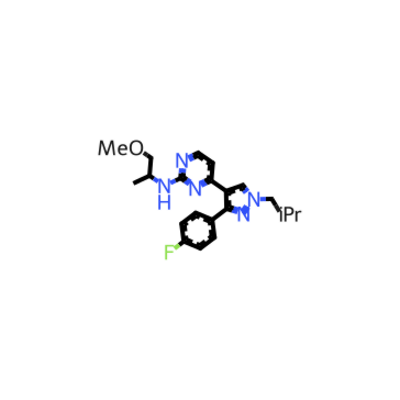 COCC(C)Nc1nccc(-c2cn(CC(C)C)nc2-c2ccc(F)cc2)n1